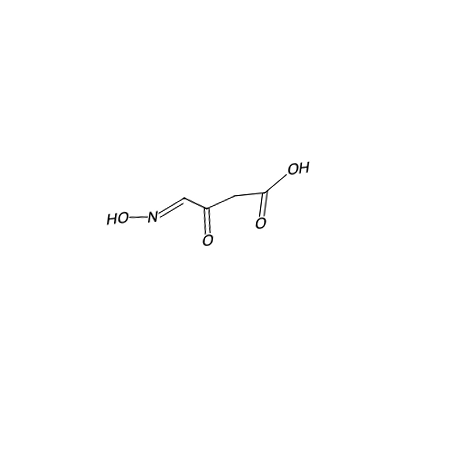 O=C(O)CC(=O)C=NO